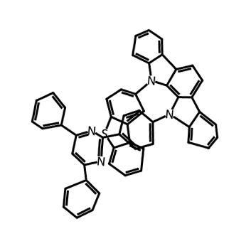 c1ccc(-c2cc(-c3ccccc3)nc(-c3ccc(-n4c5ccccc5c5ccc6c7ccccc7n(-c7ccc8sc9ccccc9c8c7)c6c54)cc3)n2)cc1